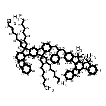 CCCCCCCCC1(CCCCCCCC)c2cc(CC(Cc3ccc4c(c3)C(C)(C)c3c5c(c6oc7ccccc7c6c3-4)-c3ccccc3C5(C)C)c3ccccc3)ccc2-c2cc3c(cc21)-c1c(ccc2oc4ccccc4c12)C3(CCCCCCCC)CCCCCCCC